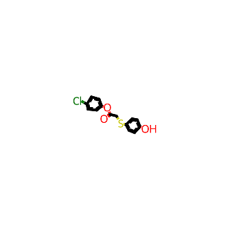 O=C(CSc1ccc(O)cc1)Oc1ccc(Cl)cc1